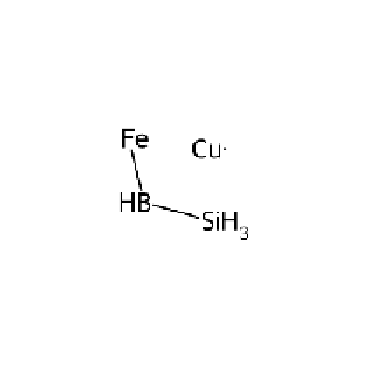 [Cu].[SiH3][BH][Fe]